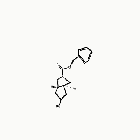 O=C(OCc1ccccc1)N1C[C@H]2CC(O)C[C@@H]2C1